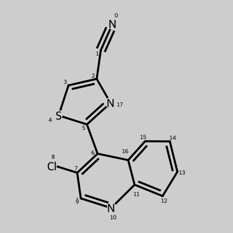 N#Cc1csc(-c2c(Cl)[c]nc3ccccc23)n1